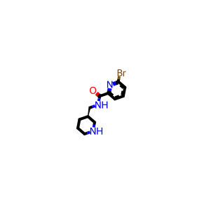 O=C(NC[C@@H]1CCCNC1)c1cccc(Br)n1